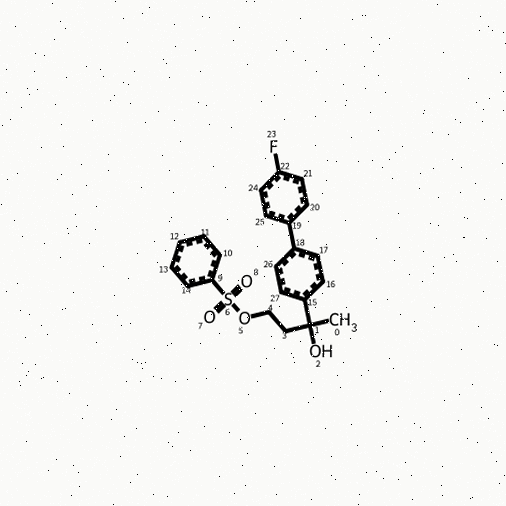 CC(O)(CCOS(=O)(=O)c1ccccc1)c1ccc(-c2ccc(F)cc2)cc1